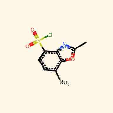 Cc1nc2c(S(=O)(=O)Cl)ccc([N+](=O)[O-])c2o1